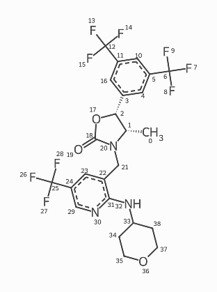 C[C@H]1[C@@H](c2cc(C(F)(F)F)cc(C(F)(F)F)c2)OC(=O)N1Cc1cc(C(F)(F)F)cnc1NC1CCOCC1